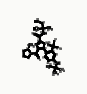 C[C@H]1CCCN1C(=O)c1nc(C(=O)NC(C)(C)CO)sc1-c1cnc(NC(C)(C)C)cc1C(F)(F)F